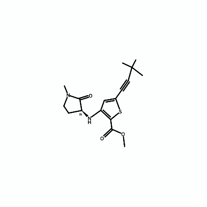 COC(=O)c1sc(C#CC(C)(C)C)cc1N[C@H]1CCN(C)C1=O